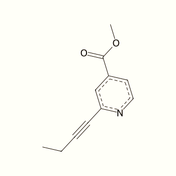 CCC#Cc1cc(C(=O)OC)ccn1